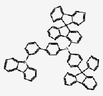 c1ccc(C2(c3ccc(N(c4ccc(-c5cccc(-n6c7ccccc7c7ccccc76)c5)cc4)c4cccc5c4-c4ccccc4C54c5ccccc5-c5ccccc54)cc3)c3ccccc3-c3ccccc32)cc1